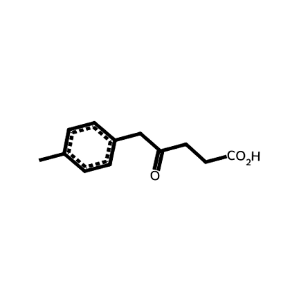 Cc1ccc(CC(=O)CCC(=O)O)cc1